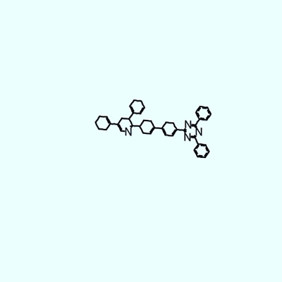 C1=CC(C2CC(C3=CCCCC3)=CN=C2C2CC=C(C3=CC=C(c4nc(-c5ccccc5)nc(-c5ccccc5)n4)CC3)CC2)=CCC1